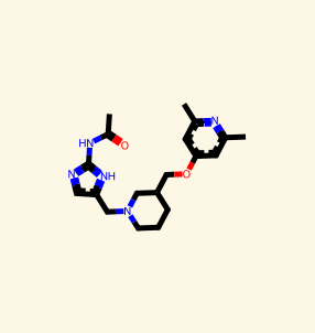 CC(=O)Nc1ncc(CN2CCCC(COc3cc(C)nc(C)c3)C2)[nH]1